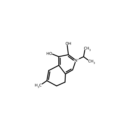 CC1=Cc2c(c[n+](C(C)C)c(O)c2O)CC1